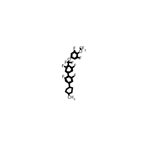 CC1CCC(c2cc(F)c(-c3cc(F)c(C(F)(F)Oc4cc(F)c(OC(F)(F)F)c(F)c4)c(F)c3)c(F)c2)CC1